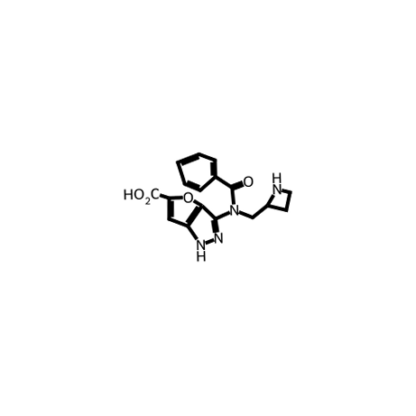 O=C(O)c1cc2[nH]nc(N(CC3CCN3)C(=O)c3ccccc3)c2o1